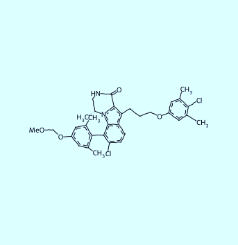 COCOc1cc(C)c(-c2c(Cl)ccc3c(CCCOc4cc(C)c(Cl)c(C)c4)c4n(c23)[C@H](C)CNC4=O)c(C)c1